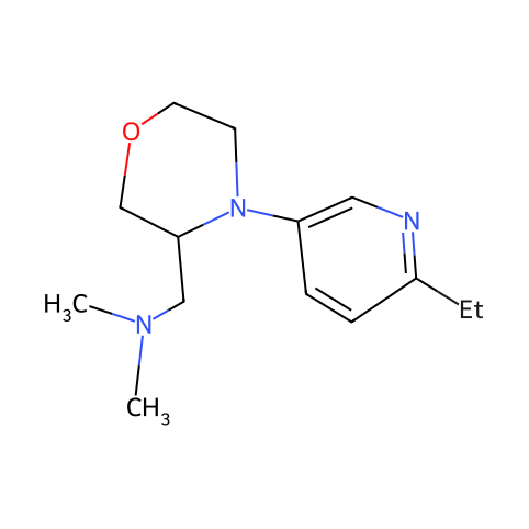 CCc1ccc(N2CCOCC2CN(C)C)cn1